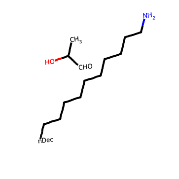 CC(O)C=O.CCCCCCCCCCCCCCCCCCCCN